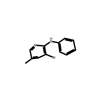 Cc1cnc(Nc2ccccc2)c(Br)c1